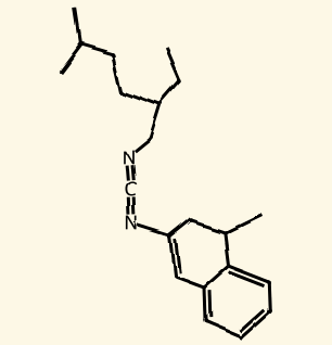 CCC(CCC(C)C)CN=C=NC1=Cc2ccccc2C(C)C1